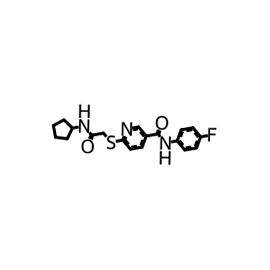 O=C(CSc1ccc(C(=O)Nc2ccc(F)cc2)cn1)NC1CCCC1